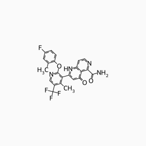 Cc1cc(F)ccc1Oc1ncc(C(F)(F)F)c(C)c1-c1cc(=O)c2c(C(N)=O)nccc2[nH]1